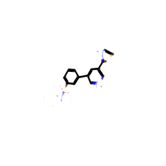 NS(=O)(=O)c1cccc(-c2cncc(-c3nccs3)c2)c1